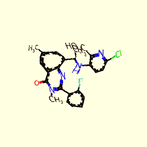 Cc1cc([C@@H](C)Nc2ccc(Cl)nc2C(=O)O)c2nc(-c3ccccc3F)n(C)c(=O)c2c1